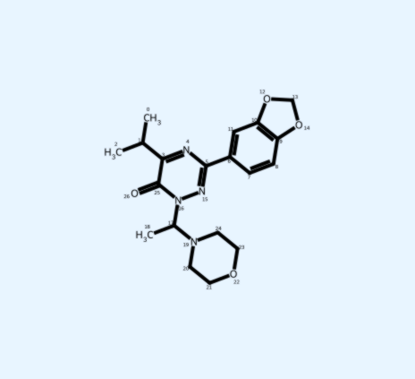 CC(C)c1nc(-c2ccc3c(c2)OCO3)nn(C(C)N2CCOCC2)c1=O